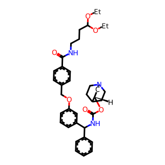 CCOC(CCCNC(=O)c1ccc(COc2cccc(C(NC(=O)O[C@H]3CN4CCC3CC4)c3ccccc3)c2)cc1)OCC